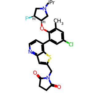 Cc1cc(Cl)cc(-c2ccnc3cc(CN4C(=O)CCC4=O)sc23)c1O[C@@H]1CN(C(C)C)C[C@@H]1F